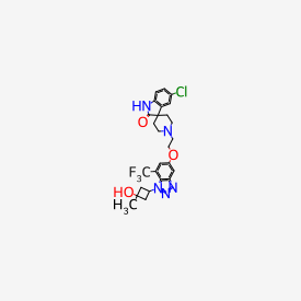 CC1(O)CC(n2nnc3cc(OCCN4CCC5(CC4)C(=O)Nc4ccc(Cl)cc45)cc(C(F)(F)F)c32)C1